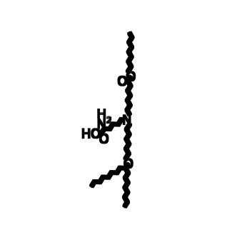 CCCCCCCCCOC(=O)CCCCCCCN(CCCCCCCCOC(CCCCCCCC)CCCCCCCC)CCCCC(N)C(=O)O